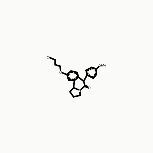 CSc1ccc(C2C(=O)N3CCCC3c3cc(OCCCCl)ccc32)cc1